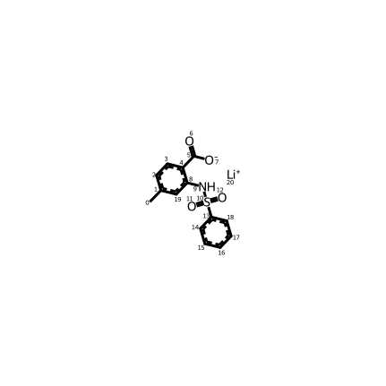 Cc1ccc(C(=O)[O-])c(NS(=O)(=O)c2ccccc2)c1.[Li+]